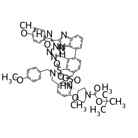 COc1ccc(CN(Cc2ccc(OC)cc2)S(=O)(=O)c2c(S(=O)(=O)N[C@H]3CCN(C(=O)OC(C)(C)C)C3)ccc(-c3cccc4nc(C(N)=O)[nH]c34)c2-c2nnn(Cc3ccc(OC)cc3)n2)cc1